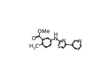 COC(=O)c1cc(Nc2nc(-c3cccnc3)cs2)ccc1C